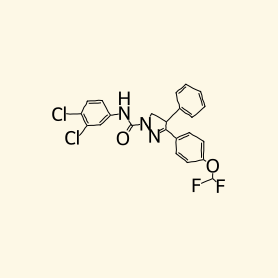 O=C(Nc1ccc(Cl)c(Cl)c1)N1CC(c2ccccc2)C(c2ccc(OC(F)F)cc2)=N1